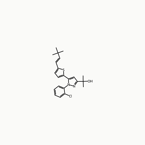 CC(C)(C)C=Cc1ccc(-c2cc(C(C)(C)O)nn2-c2ccccc2Cl)s1